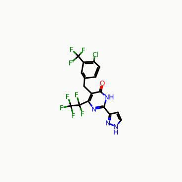 O=c1[nH]c(-c2cc[nH]n2)nc(C(F)(F)C(F)(F)F)c1Cc1ccc(Cl)c(C(F)(F)F)c1